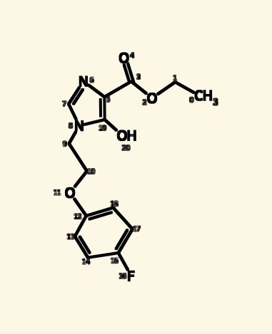 CCOC(=O)c1ncn(CCOc2ccc(F)cc2)c1O